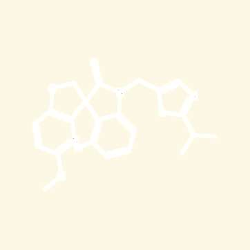 COc1ccc2c(n1)C1(CO2)C(=O)N(Cc2cnc(C(C)C)s2)c2cccc(Br)c21